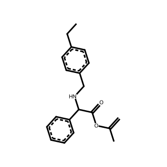 C=C(C)OC(=O)C(NCc1ccc(CC)cc1)c1ccccc1